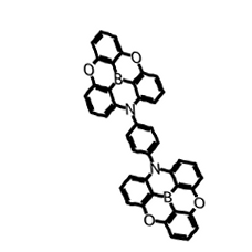 c1cc2c3c(c1)Oc1cccc4c1B3c1c(cccc1N4c1ccc(N3c4cccc5c4B4c6c(cccc6Oc6cccc3c64)O5)cc1)O2